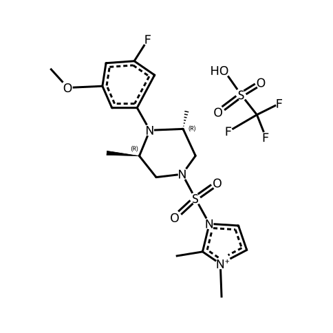 COc1cc(F)cc(N2[C@H](C)CN(S(=O)(=O)n3cc[n+](C)c3C)C[C@H]2C)c1.O=S(=O)(O)C(F)(F)F